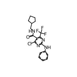 O=C(NCC1CCCC1)c1c(Cl)nc(Nc2ccccc2)nc1C(F)(F)F